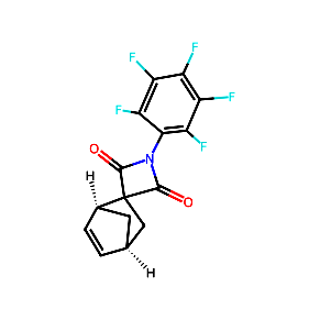 O=C1N(c2c(F)c(F)c(F)c(F)c2F)C(=O)C12C[C@H]1C=C[C@@H]2C1